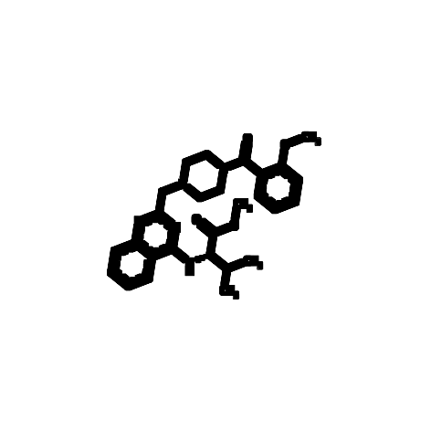 COC(=O)[C@@H](Nc1nc(CN2CCN(C(=O)c3ccccc3OC)CC2)nc2ccccc12)C(C)C